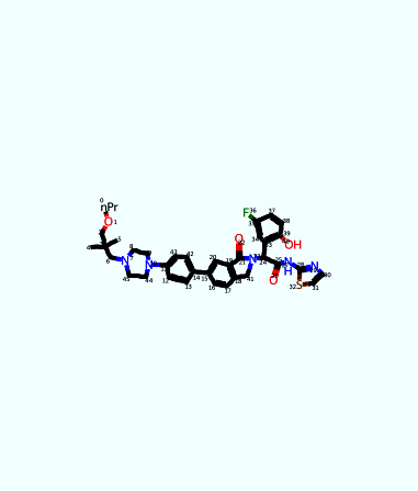 CCCOCC(C)(C)CN1CCN(c2ccc(-c3ccc4c(c3)C(=O)N(C(C(=O)Nc3nccs3)c3cc(F)ccc3O)C4)cc2)CC1